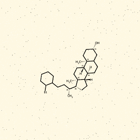 CCC1CCCCC1CC[C@@H](C)[C@H]1CC[C@H]2[C@@H]3CCC4C[C@@H](O)CC[C@]4(C)[C@H]3CC[C@]12C